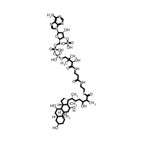 CC(C(=O)SCCNC(=O)CCNC(=O)[C@H](O)C(C)(C)COP(=O)(O)OP(=O)(O)OC[C@H]1O[C@@H](n2cnc3c(N)ncnc32)[C@H](O)[C@@H]1OP(=O)(O)O)C(O)CC[C@@H](C)[C@H]1CC[C@H]2[C@@H]3[C@H](O)C[C@@H]4C[C@H](O)CC[C@]4(C)[C@H]3C[C@H](O)[C@]12C